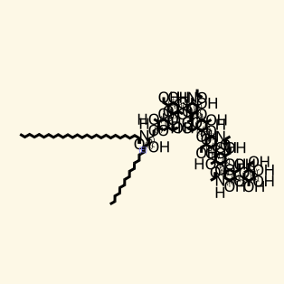 CCCCCCCCCCCCC/C=C/[C@@H](O)[C@H](CO[C@@H]1OC(CO)[C@@H](O[C@@H]2OC(CO)[C@H](O)[C@H](O[C@@H]3OC(CO)[C@@H](O[C@@H]4OC(CO)[C@H](O)[C@H](O[C@@H]5OC(CO)[C@@H](O[C@@H]6OC(CO)[C@H](O)[C@H](O[C@@H]7OC(CO)[C@@H](O[C@@H]8OC(CO)[C@H](O)[C@H](O)C8O)[C@H](O)C7NC(C)=O)C6O)[C@H](O)C5NC(C)=O)C4O)[C@H](O)C3NC(C)=O)C2O)[C@H](O)C1O)NC(=O)CCCCCCCCCCCCCCCCCCCCCCCCC